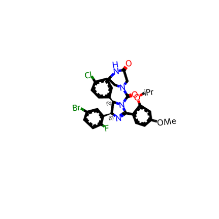 COc1ccc(C2=N[C@@H](c3cc(Br)ccc3F)[C@@H](c3ccc(Cl)cc3)N2C(=O)N2CCNC(=O)C2)c(OC(C)C)c1